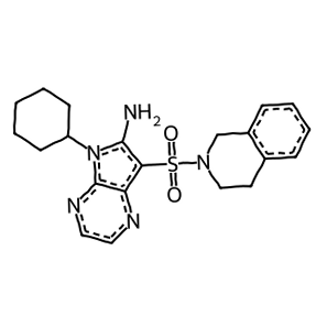 Nc1c(S(=O)(=O)N2CCc3ccccc3C2)c2nccnc2n1C1CCCCC1